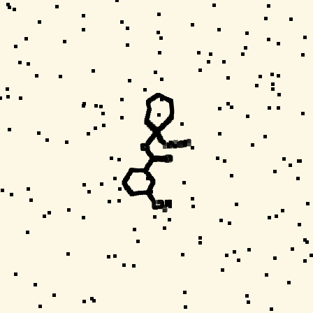 CCCCCCCCCC1(OC(=O)C2CCCC(C(=O)O)C2)CCCCC1